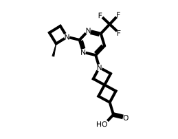 C[C@H]1CCN1c1nc(N2CC3(CC(C(=O)O)C3)C2)cc(C(F)(F)F)n1